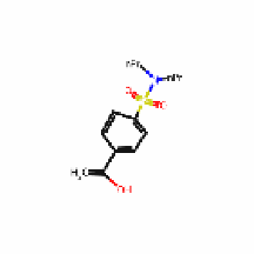 C=C(O)c1ccc(S(=O)(=O)N(CCC)CCC)cc1